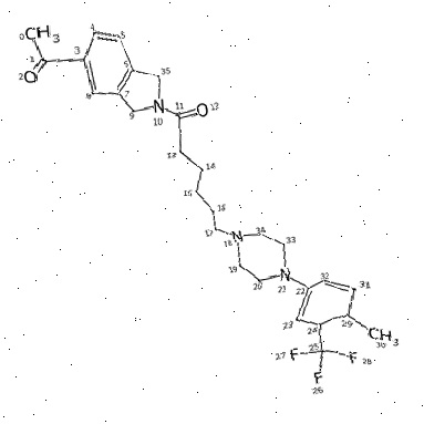 CC(=O)c1ccc2c(c1)CN(C(=O)CCCCCN1CCN(C3=CC(C(F)(F)F)C(C)C=C3)CC1)C2